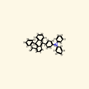 CC(C)c1cccc2c(-c3ccc(N(c4ccccc4)c4ccccc4)cc3)c3ccccc3c(-c3ccccc3)c12